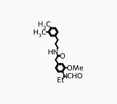 CCN(C=O)c1ccc(CC(=O)NCCCc2ccc(C)c(C)c2)cc1OC